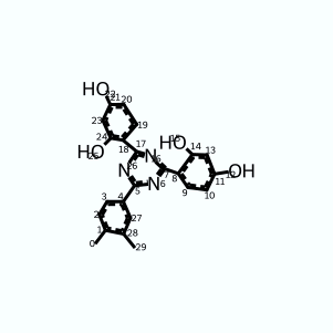 Cc1ccc(-c2nc(-c3ccc(O)cc3O)nc(-c3ccc(O)cc3O)n2)cc1C